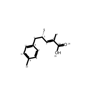 C/C(=C\[C@@H](C)Cc1ccc(C)cc1)C(=O)O